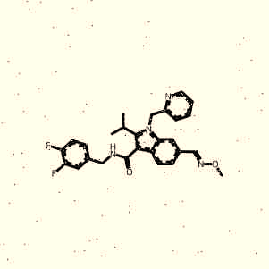 CO/N=C/c1ccc2c(C(=O)NCc3ccc(F)c(F)c3)c(C(C)C)n(Cc3ccccn3)c2c1